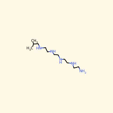 CC(C)CNCCNCCNCCNCCN